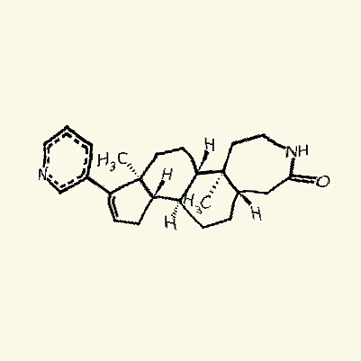 C[C@]12CCNC(=O)C[C@@H]1CC[C@@H]1[C@@H]2CC[C@]2(C)C(c3cccnc3)=CC[C@@H]12